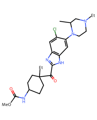 CCN1CCN(c2cc3[nH]c(C(=O)C4(CC)CCC(NC(=O)OC)CC4)nc3cc2Cl)C(C)C1